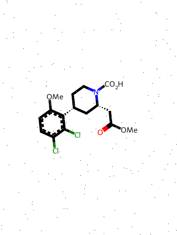 COC(=O)C[C@@H]1C[C@H](c2c(OC)ccc(Cl)c2Cl)CCN1C(=O)O